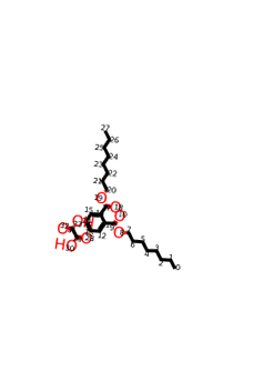 CCCCCCCCOC(=O)c1ccccc1C(=O)OCCCCCCCC.O=C(O)C(=O)O